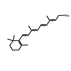 CNC/C=C(C)/C=C/C=C(C)/C=C/C1=C(C)CCCC1(C)C